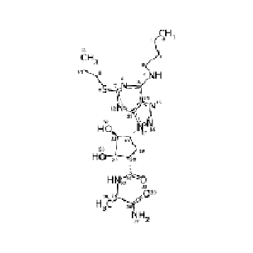 CCCCNc1nc(SCCC)nc2c1nnn2[C@@H]1C[C@H](C(=O)NC(C)C(N)=O)[C@@H](O)[C@H]1O